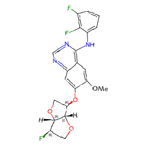 COc1cc2c(Nc3cccc(F)c3F)ncnc2cc1O[C@@H]1CO[C@@H]2[C@H]1OC[C@H]2F